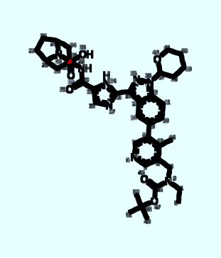 CCN(Cc1cncc(-c2ccc3c(c2)c(-c2ncc(C(=O)NC4CC5CCC(C4)N5C(=O)O)[nH]2)nn3C2CCCCO2)c1C)C(=O)OC(C)(C)C